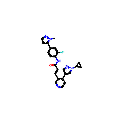 Cn1nccc1-c1ccc(NC(=O)C=Cc2cnccc2-c2cnn(C3CC3)c2)c(F)c1